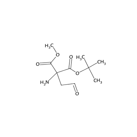 COC(=O)C(N)(CC=O)C(=O)OC(C)(C)C